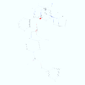 COCOc1ccccc1-c1cc(N2CC3CCC(C2)N3c2ccnc(OCCN3CCN(C(=O)OCc4ccccc4)CC3)c2)c(N)nn1